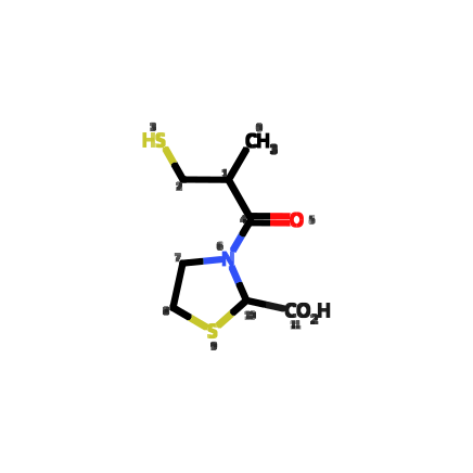 CC(CS)C(=O)N1CCSC1C(=O)O